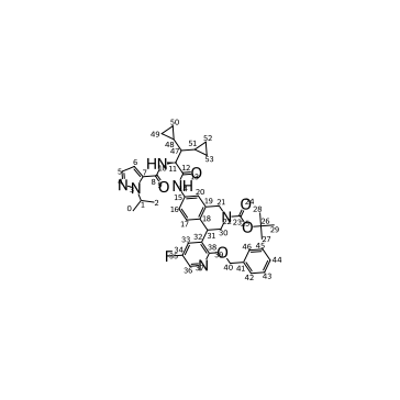 CC(C)n1nccc1C(=O)N[C@H](C(=O)Nc1ccc2c(c1)CN(C(=O)OC(C)(C)C)CC2c1cc(F)cnc1OCc1ccccc1)C(C1CC1)C1CC1